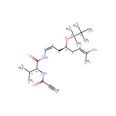 C#CC(=O)N[C@H](C(=O)N/C=C\C[C@H](C/C=C(\C)Cl)O[Si](C)(C)C(C)(C)C)C(C)C